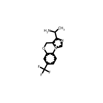 CC(N)c1ncn2c1COc1cc(C(F)(F)F)ccc1-2